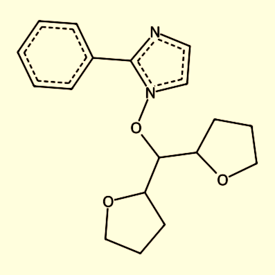 c1ccc(-c2nccn2OC(C2CCCO2)C2CCCO2)cc1